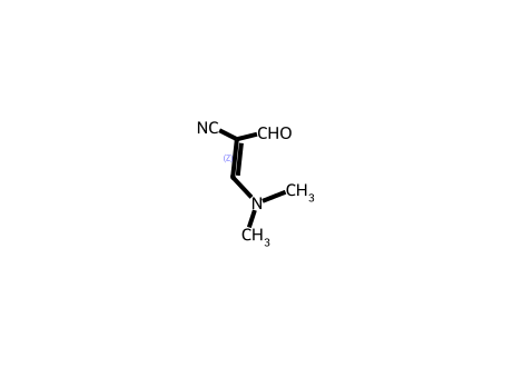 CN(C)/C=C(/C#N)C=O